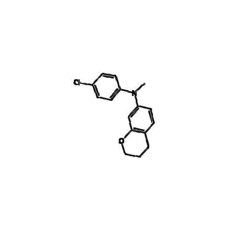 CN(c1ccc(Cl)cc1)c1ccc2c(c1)OCCC2